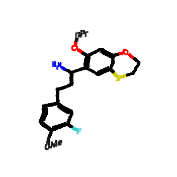 CCCOc1cc2c(cc1C(N)CCc1ccc(OC)c(F)c1)SCCO2